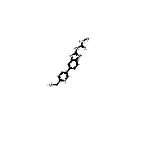 CCNC(=O)Nc1nc2cc(-c3ccc(CN)nc3)ccc2[nH]1